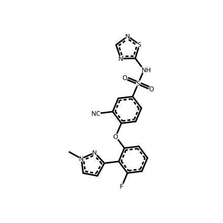 Cn1ccc(-c2c(F)cccc2Oc2ccc(S(=O)(=O)Nc3ncns3)cc2C#N)n1